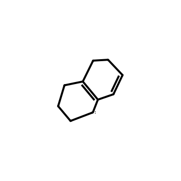 [C]1CCCC2=C1C=CCC2